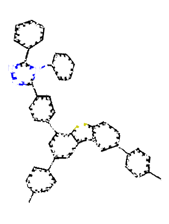 Cc1ccc(-c2ccc3sc4c(-c5ccc(-c6nnc(-c7ccccc7)n6-c6ccccc6)cc5)cc(-c5ccc(C)cc5)cc4c3c2)cc1